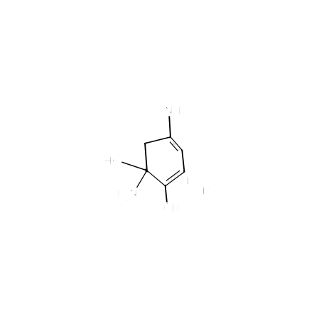 Cl.Cl.NC1=CC=C(O)C(N)(O)C1